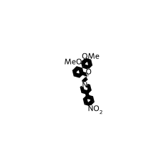 COc1ccc(O[C@H](CCN2CC=C(c3ccc([N+](=O)[O-])cc3)CC2)c2ccccc2)cc1OC